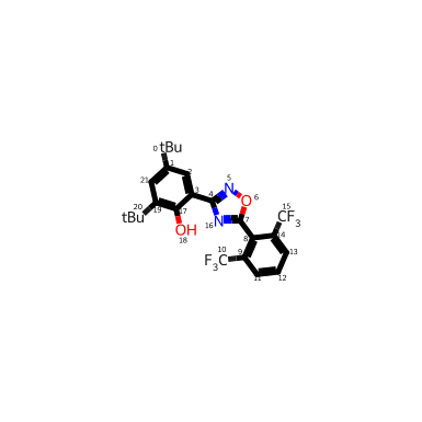 CC(C)(C)c1cc(-c2noc(-c3c(C(F)(F)F)cccc3C(F)(F)F)n2)c(O)c(C(C)(C)C)c1